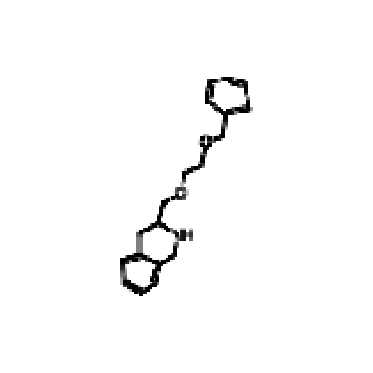 c1ccc(COCCOCC2Cc3ccccc3CN2)cc1